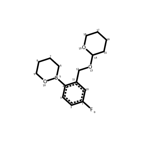 Fc1ccc(B2CCCCO2)c(COC2CCCCO2)c1